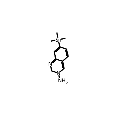 [CH3][Sn]([CH3])([CH3])[c]1ccc2c(c1)=NCN(N)C=2